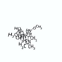 CCOCCNc1nc(C)c(-c2nc(C)c(C)s2)c(N[C@@H]2C[C@H](CO)[C@H]3OC(C)(C)O[C@H]32)n1